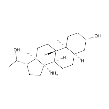 CC(O)[C@H]1CC[C@]2(N)[C@@H]3CC[C@@H]4C[C@@H](O)CC[C@]4(C)[C@H]3CC[C@]12C